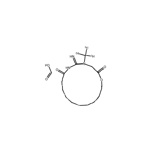 O=CO.[2H]C([2H])([2H])N1CC(=O)OCCCCCCCCCC(=O)NC1=N